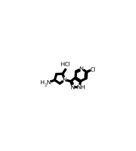 CC1CC(N)CN1c1n[nH]c2cc(Cl)ncc12.Cl